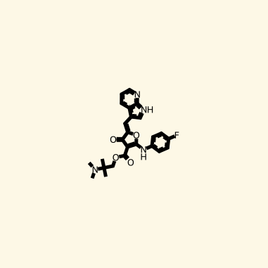 CN(C)C(C)(C)COC(=O)C1=C(Nc2ccc(F)cc2)O/C(=C\c2c[nH]c3ncccc23)C1=O